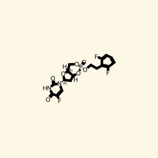 O=c1[nH]c(=O)n([C@H]2C[C@@H]3OP(=O)(OCCc4c(F)cccc4F)OC[C@H]3O2)cc1F